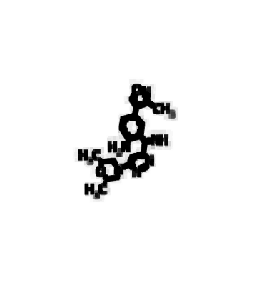 Cc1nocc1-c1ccc(N)c(C(=N)c2cc(N3C[C@@H](C)O[C@@H](C)C3)ncn2)c1